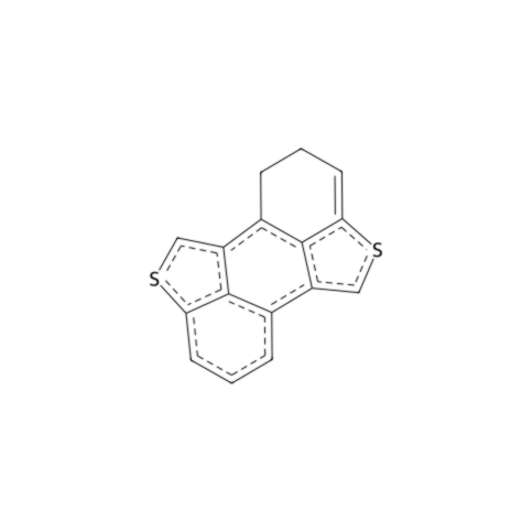 C1=c2scc3c2c(c2csc4cccc3c42)CC1